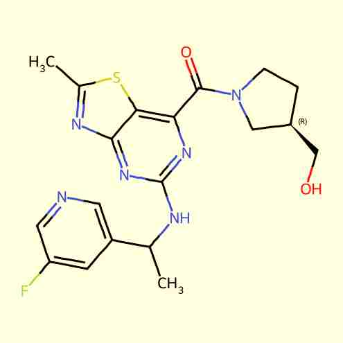 Cc1nc2nc(NC(C)c3cncc(F)c3)nc(C(=O)N3CC[C@@H](CO)C3)c2s1